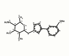 CSc1cccc(-c2cn(CC3OC(C)C(NC(C)=O)C(OC(C)=O)C3OC(C)=O)nn2)c1